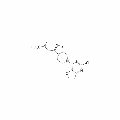 CN(Cc1ncc2n1CCN(c1nc(Cl)nc3ccoc13)C2)C(=O)O